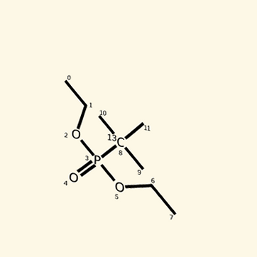 CCOP(=O)(OCC)[13C](C)(C)C